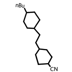 CCCCC1CCC(CCC2CCC(C#N)CC2)CC1